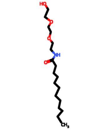 CCCCCCCCCCCC(=O)NCCOCCOCCO